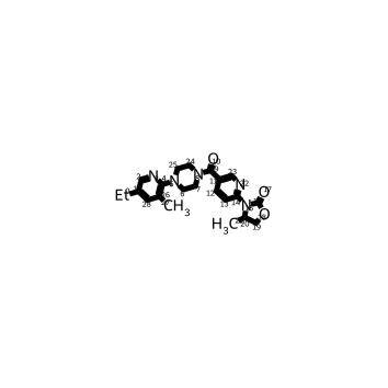 CCc1cnc(N2CCN(C(=O)c3ccc(N4C(=O)OCC4C)nc3)CC2)c(C)c1